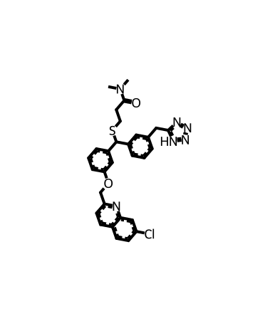 CN(C)C(=O)CCSC(c1cccc(Cc2nnn[nH]2)c1)c1cccc(OCc2ccc3ccc(Cl)cc3n2)c1